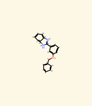 c1ccc(COc2cccc(-c3nc4ccccc4[nH]3)c2)cc1